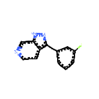 Fc1cccc(-c2n[nH]c3cnccc23)c1